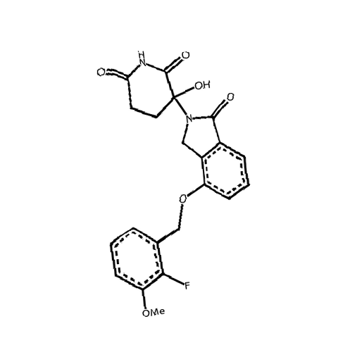 COc1cccc(COc2cccc3c2CN(C2(O)CCC(=O)NC2=O)C3=O)c1F